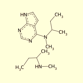 CCC(C)N(C)c1ncnc2[nH]ccc12.CCC(C)NC